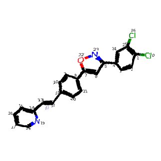 Clc1ccc(-c2cc(-c3ccc(/C=C/c4ccccn4)cc3)on2)cc1Cl